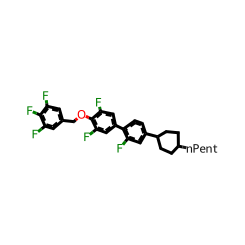 CCCCCC1CCC(c2ccc(-c3cc(F)c(OCc4cc(F)c(F)c(F)c4)c(F)c3)c(F)c2)CC1